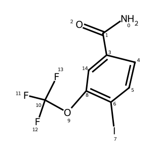 NC(=O)c1ccc(I)c(OC(F)(F)F)c1